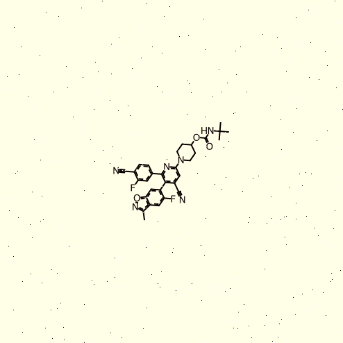 Cc1noc2cc(-c3c(C#N)cc(N4CCC(OC(=O)NC(C)(C)C)CC4)nc3-c3ccc(C#N)c(F)c3)c(F)cc12